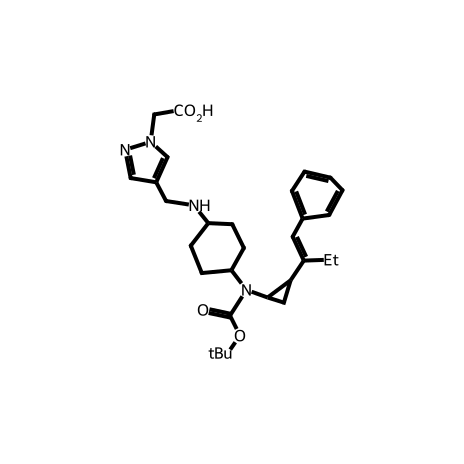 CCC(=Cc1ccccc1)C1CC1N(C(=O)OC(C)(C)C)C1CCC(NCc2cnn(CC(=O)O)c2)CC1